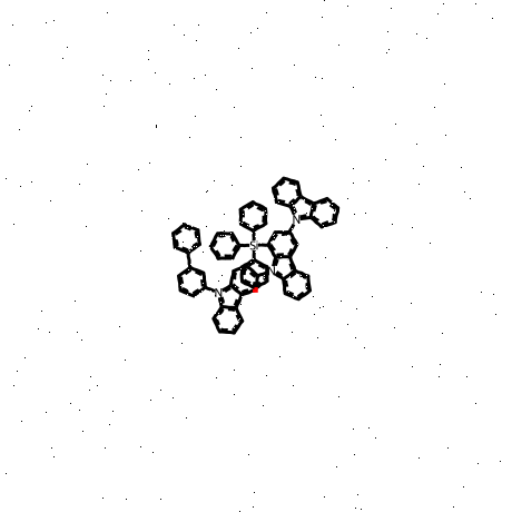 c1ccc(-c2cccc(-n3c4ccccc4c4cc(-n5c6ccccc6c6cc(-n7c8ccccc8c8ccccc87)cc([Si](c7ccccc7)(c7ccccc7)c7ccccc7)c65)ccc43)c2)cc1